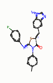 Cc1ccc(N2C(=O)/C(=C/c3ccc4[nH]cnc4c3)S/C2=N\c2ccc(F)cc2)cc1